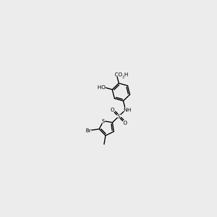 Cc1cc(S(=O)(=O)Nc2ccc(C(=O)O)c(O)c2)sc1Br